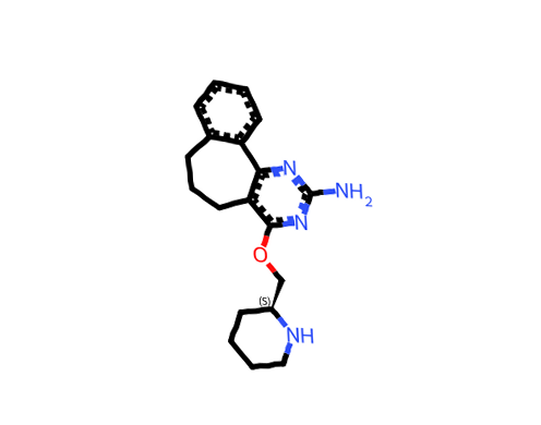 Nc1nc(OC[C@@H]2CCCCN2)c2c(n1)-c1ccccc1CCC2